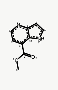 COC(=O)c1ccnc2cc[nH]c12